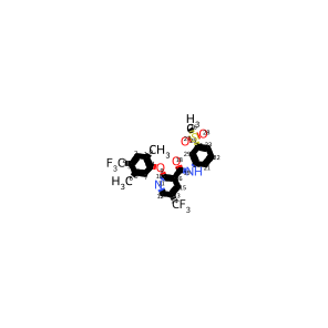 Cc1cc(C(F)(F)F)c(C)cc1Oc1ncc(C(F)(F)F)cc1C(=O)Nc1cccc(S(C)(=O)=O)c1